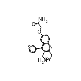 CC(C)Cc1nc2ccc(OCC(N)=O)cc2c(-c2ccsc2)c1CN